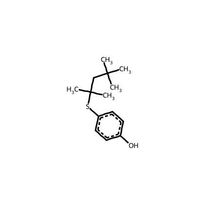 CC(C)(C)CC(C)(C)Sc1ccc(O)cc1